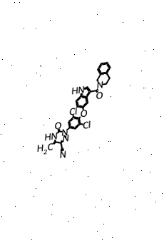 C=C1NC(=O)N(c2cc(Cl)c(Oc3ccc4[nH]cc(C(=O)N5CCc6ccccc6C5)c4c3)c(Cl)c2)N=C1C#N